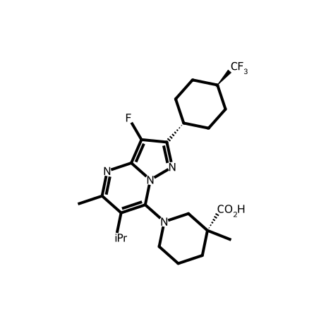 Cc1nc2c(F)c([C@H]3CC[C@H](C(F)(F)F)CC3)nn2c(N2CCC[C@@](C)(C(=O)O)C2)c1C(C)C